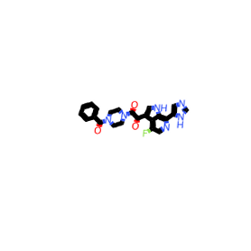 O=C(C(=O)N1CCN(C(=O)c2ccccc2)CC1)c1c[nH]c2c(-c3cnc[nH]3)ncc(F)c12